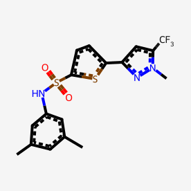 Cc1cc(C)cc(NS(=O)(=O)c2ccc(-c3cc(C(F)(F)F)n(C)n3)s2)c1